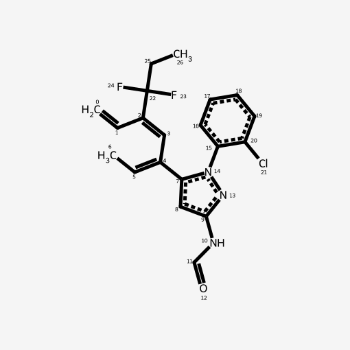 C=C/C(=C\C(=C/C)c1cc(NC=O)nn1-c1ccccc1Cl)C(F)(F)CC